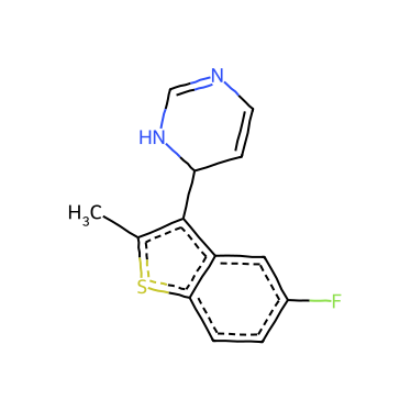 Cc1sc2ccc(F)cc2c1C1C=CN=CN1